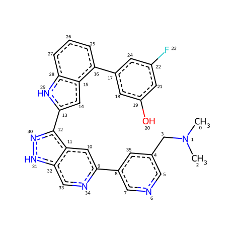 CN(C)Cc1cncc(-c2cc3c(-c4cc5c(-c6cc(O)cc(F)c6)cccc5[nH]4)n[nH]c3cn2)c1